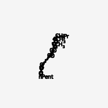 CCCCCC1CCC(c2ccc(OCCCCCCCOC(=O)CCC(=O)O[C@H]3CC[C@@]4(C)C(=CCC5C4CC[C@@]4(C)C5CC[C@@H]4C(C)CCCC(C)C)C3)cc2)CC1